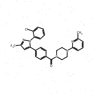 Cc1cccc(N2CCN(C(=O)c3ccc(-c4cc(C(F)(F)F)nn4-c4ccccc4Cl)cc3)CC2)n1